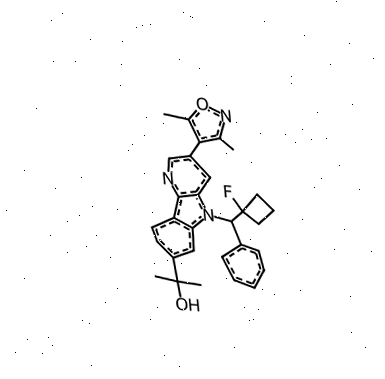 Cc1noc(C)c1-c1cnc2c3ccc(C(C)(C)O)cc3n(C(c3ccccc3)C3(F)CCC3)c2c1